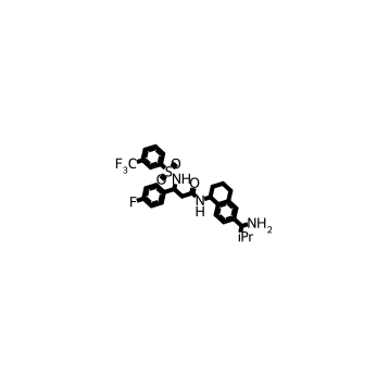 CC(C)C(N)c1ccc2c(c1)CCCC2NC(=O)CC(NS(=O)(=O)c1cccc(C(F)(F)F)c1)c1ccc(F)cc1